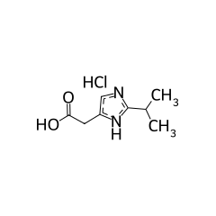 CC(C)c1ncc(CC(=O)O)[nH]1.Cl